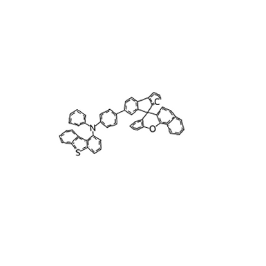 c1ccc(N(c2ccc(-c3ccc4c(c3)C3(c5ccccc5Oc5c3ccc3ccccc53)c3ccccc3-4)cc2)c2cccc3sc4ccccc4c23)cc1